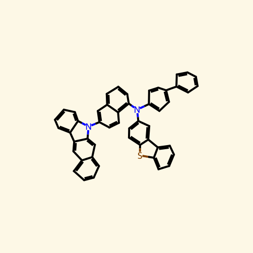 c1ccc(-c2ccc(N(c3ccc4sc5ccccc5c4c3)c3cccc4cc(-n5c6ccccc6c6cc7ccccc7cc65)ccc34)cc2)cc1